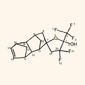 OC1(C(F)(F)F)OC2(CC3CC2C2C4C=CC(C4)C32)CC1(F)F